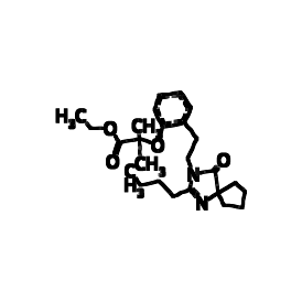 CCCCC1=NC2(CCCC2)C(=O)N1CCc1ccccc1OC(C)(C)C(=O)OCC